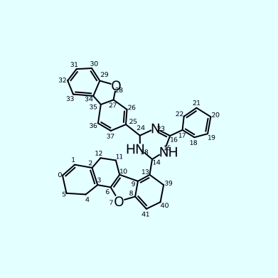 C1=CC2=C(CC1)c1oc3c(c1CC2)=C(C1NC(c2ccccc2)=NC(C2=CC4Oc5ccccc5C4C=C2)N1)CCC=3